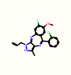 C=CCN1NC(C)=C2N=C(c3ccccc3Cl)c3cc(OC)c(F)cc3N=C21